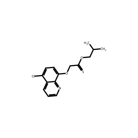 CC(C)COC(=S)COc1ccc(Cl)c2cccnc12